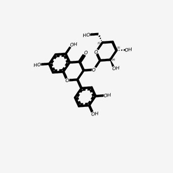 O=C1c2c(O)cc(O)cc2OC(c2ccc(O)c(O)c2)C1OC1O[C@H](CO)C[C@H](O)[C@H]1O